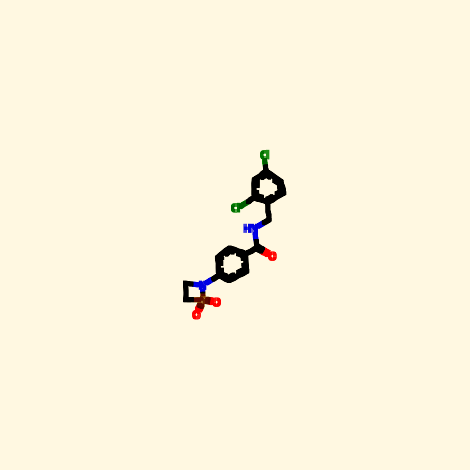 O=C(NCc1ccc(Cl)cc1Cl)c1ccc(N2CCS2(=O)=O)cc1